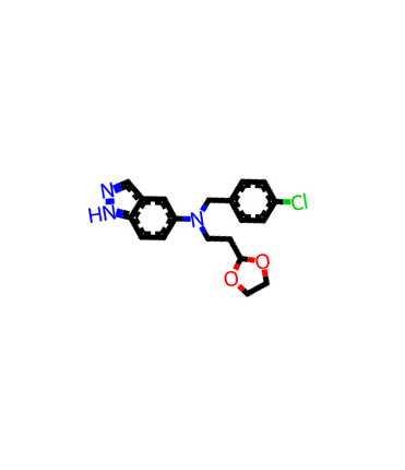 Clc1ccc(CN(CCC2OCCO2)c2ccc3[nH]ncc3c2)cc1